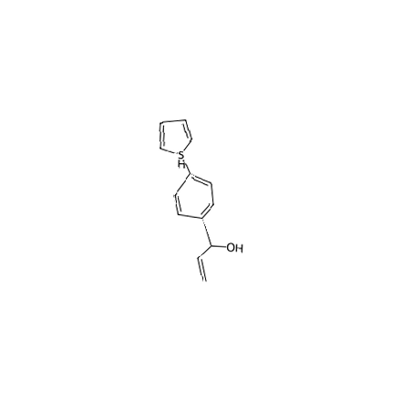 C=CC(O)c1ccc([SH]2C=CC=C2)cc1